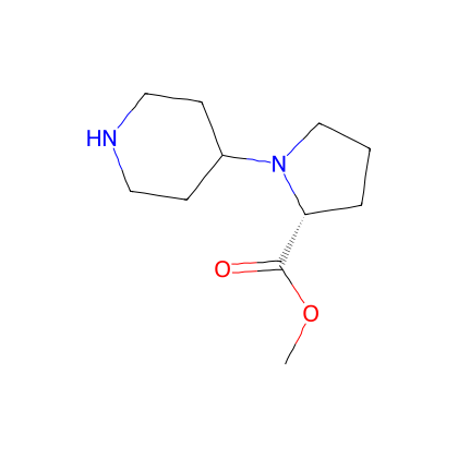 COC(=O)[C@H]1CCCN1C1CCNCC1